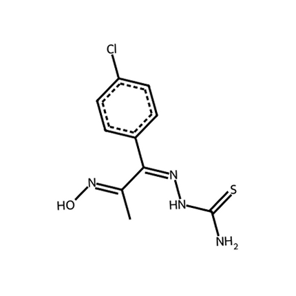 CC(=NO)C(=NNC(N)=S)c1ccc(Cl)cc1